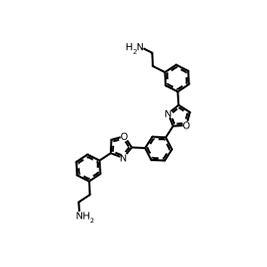 NCCc1cccc(-c2coc(-c3cccc(-c4nc(-c5cccc(CCN)c5)co4)c3)n2)c1